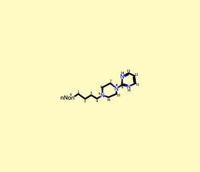 CCCCCCCCCCCCCN1CCN(c2ncccn2)CC1